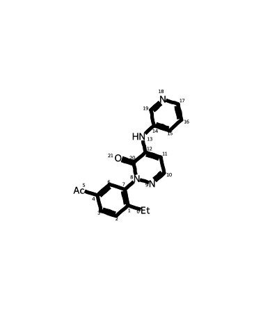 CCc1ccc(C(C)=O)cc1-n1nccc(Nc2cccnc2)c1=O